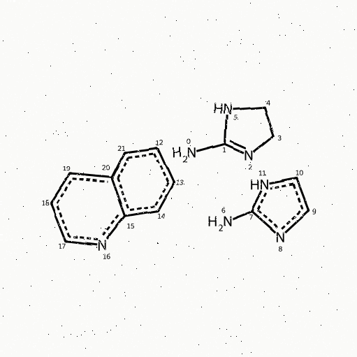 NC1=NCCN1.Nc1ncc[nH]1.c1ccc2ncccc2c1